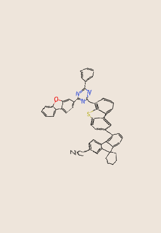 N#Cc1ccc2c(c1)C1(CCCCC1)c1cccc(-c3ccc4sc5c(-c6nc(-c7ccccc7)nc(-c7ccc8c(c7)oc7ccccc78)n6)cccc5c4c3)c1-2